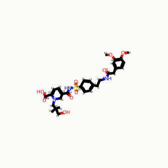 COc1ccc(CC(=O)NCCc2ccc(S(=O)(=O)NC(=O)C3=CC=C(C(=O)O)N(CC(C)(C)CO)C3)cc2)cc1OC